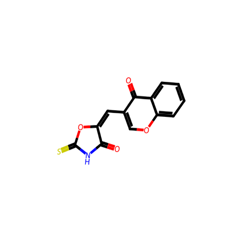 O=C1NC(=S)O/C1=C/c1coc2ccccc2c1=O